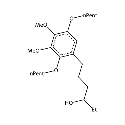 CCCCCOc1cc(CCCC(O)CC)c(OCCCCC)c(OC)c1OC